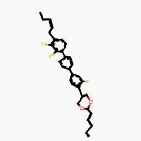 CC/C=C\Cc1ccc(-c2ccc(-c3ccc(C4COC(CCCCC)OC4)c(F)c3)cc2)c(F)c1F